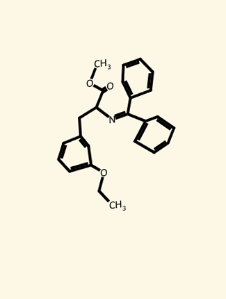 CCOc1cccc(CC(N=C(c2ccccc2)c2ccccc2)C(=O)OC)c1